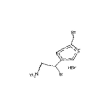 Br.NCC(Br)c1csc(Br)c1